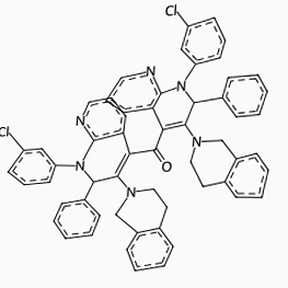 O=C(C1=C(N2CCc3ccccc3C2)C(c2ccccc2)N(c2cccc(Cl)c2)c2ncccc21)C1=C(N2CCc3ccccc3C2)C(c2ccccc2)N(c2cccc(Cl)c2)c2ncccc21